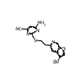 CC(C)(C)c1coc2cnc(CCSc3nc(N)cc(C#N)n3)cc12